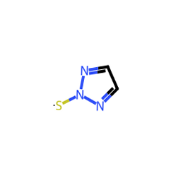 [S]n1nccn1